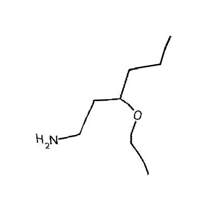 CCCC(CCN)OCC